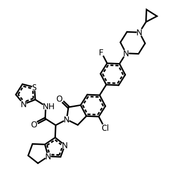 O=C(Nc1nccs1)C(c1ncn2c1CCC2)N1Cc2c(Cl)cc(-c3ccc(N4CCN(C5CC5)CC4)c(F)c3)cc2C1=O